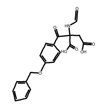 O=CNC(CC(=O)O)(C(=O)O)C(=O)c1ccc(OCc2ccccc2)cc1